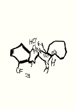 Cl.FC(F)(F)c1cccc(Cl)c1N=C1N[C@@H]2CCCC[C@H]2N1